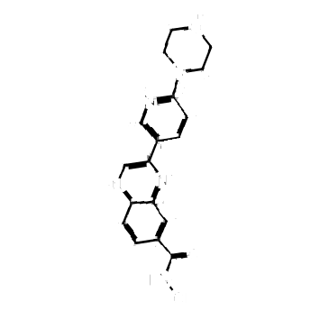 O=C(NO)c1ccc2ncc(-c3ccc(N4CCOCC4)nc3)nc2c1